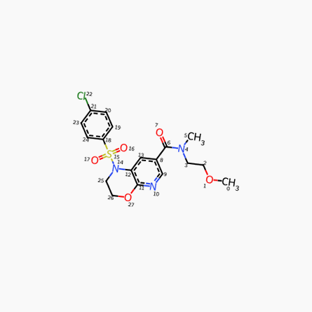 COCCN(C)C(=O)c1cnc2c(c1)N(S(=O)(=O)c1ccc(Cl)cc1)CCO2